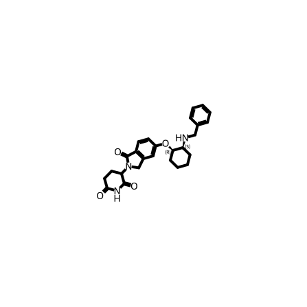 O=C1CCC(N2Cc3cc(O[C@@H]4CCCC[C@@H]4NCc4ccccc4)ccc3C2=O)C(=O)N1